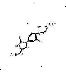 CCOC(=O)C1CCN(c2ccc(N3CC(CNC(C)=O)OC3=O)cc2F)CC1